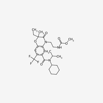 CCC1(C)Oc2cc(C(F)(F)F)c(C(=O)N(C(C)C)C3CCCCC3)cc2N(CCNC(=O)OC)C1=O